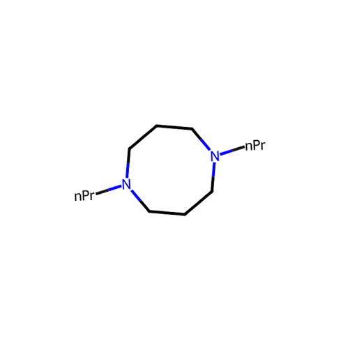 CCCN1CCCN(CCC)CCC1